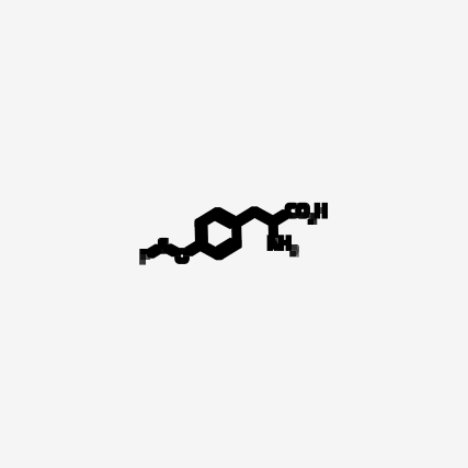 NC(Cc1ccc(OSF)cc1)C(=O)O